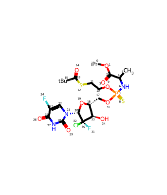 CC(C)OC(=O)C(C)NP(=S)(OCCSC(=O)C(C)(C)C)OC[C@H]1O[C@@H](n2cc(F)c(=O)[nH]c2=O)[C@@](F)(Cl)[C@@H]1O